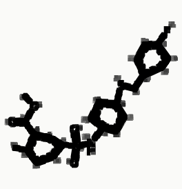 COC(=O)c1cc(S(=O)(=O)Nc2ccc(SCc3ccc(F)cc3)cc2)ccc1C